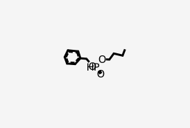 CCCCO[PH](=O)OCc1ccccc1